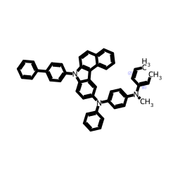 C/C=C\C(=C/C)N(C)c1ccc(N(c2ccccc2)c2ccc3c(c2)c2c4ccccc4ccc2n3-c2ccc(-c3ccccc3)cc2)cc1